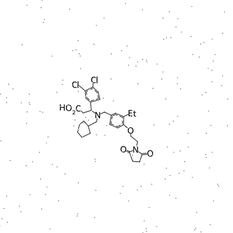 CCc1cc(CN(CC2CCCCC2)C(CC(=O)O)c2ccc(Cl)c(Cl)c2)ccc1OCCN1C(=O)CCC1=O